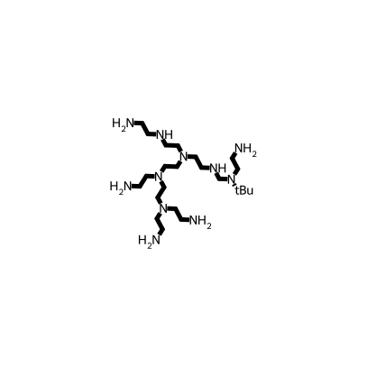 CC(C)(C)N(CCN)CNCCN(CCNCCN)CCN(CCN)CCN(CCN)CCN